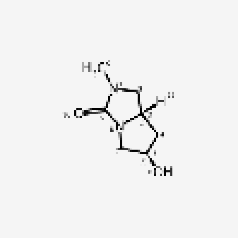 CN1C[C@@H]2C[C@@H](O)CN2C1=O